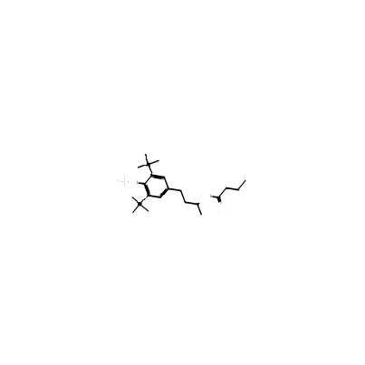 CCCC(=O)OC(C)CCc1cc(C(C)(C)C)c(O)c(C(C)(C)C)c1